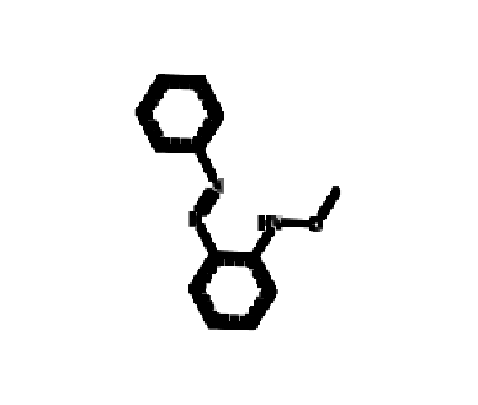 CONc1ccccc1N=Nc1ccccc1